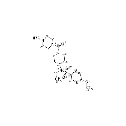 CC(C)N1CCN(C(=O)[C@H]2CC[C@H](N(CC(F)(F)F)S(=O)(=O)c3ccc(OC(F)(F)F)cc3)CC2)CC1